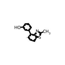 Cc1nc2c(-c3cccc(O)c3)[c]ccc2s1